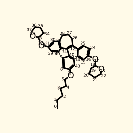 ICCCCCOc1ccc(C2=C(c3ccc(OC4CCCCO4)cc3)CCCc3cc(OC4CCCCO4)ccc32)cc1